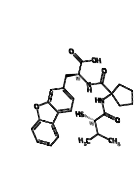 CC(C)[C@H](S)C(=O)NC1(C(=O)N[C@@H](Cc2ccc3c(c2)oc2ccccc23)C(=O)O)CCCC1